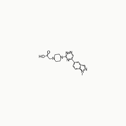 Cn1ncc2cc(-c3cnnc(N4CCN(CC(=O)O)CC4)n3)ccc21